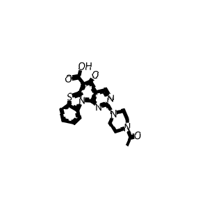 CC(=O)N1CCN(c2ncc3c(=O)c(C(=O)O)c4sc5ccccc5n4c3n2)CC1